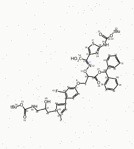 C[n+]1cc(-c2ccc(OCC(O/N=C(\C(=O)O)c3csc(NC(=O)OC(C)(C)C)n3)C(=O)OC(c3ccccc3)c3ccccc3)cc2F)cn1CC(O)CNC(=O)OC(C)(C)C